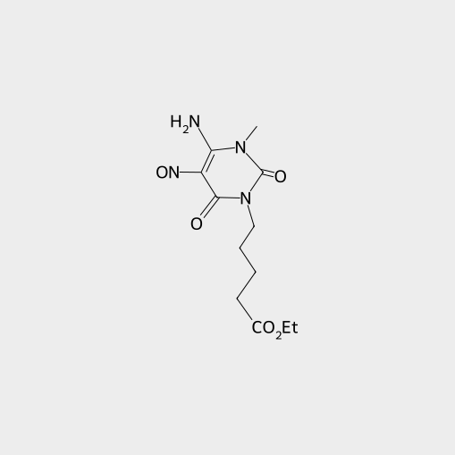 CCOC(=O)CCCCn1c(=O)c(N=O)c(N)n(C)c1=O